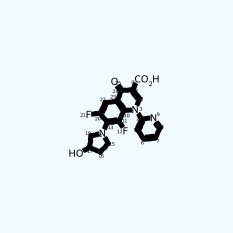 O=C(O)c1cn(-c2ccccn2)c2c(F)c(N3CCC(O)C3)c(F)cc2c1=O